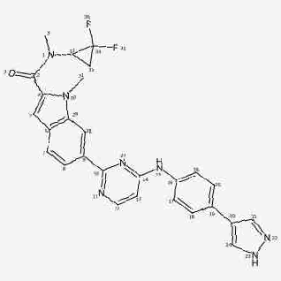 CN(C(=O)c1cc2ccc(-c3nccc(Nc4ccc(-c5cn[nH]c5)cc4)n3)cc2n1C)C1CC1(F)F